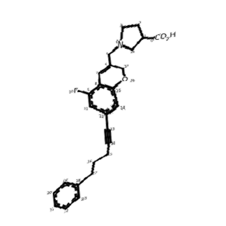 O=C(O)C1CCN(CC2=Cc3c(F)cc(C#CCCCc4ccccc4)cc3OC2)C1